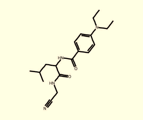 CCN(CC)c1ccc(C(=O)NC(CC(C)C)C(=O)NCC#N)cc1